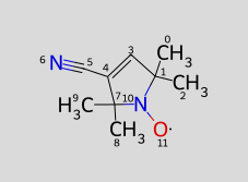 CC1(C)C=C(C#N)C(C)(C)N1[O]